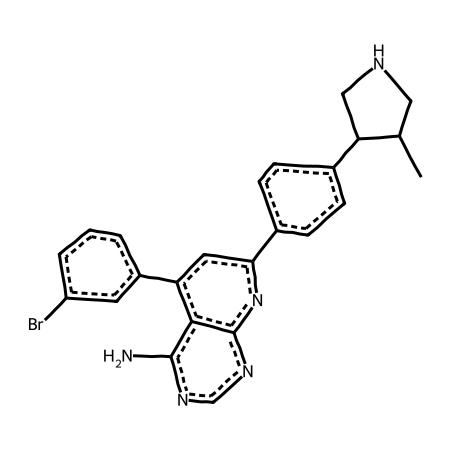 CC1CNCC1c1ccc(-c2cc(-c3cccc(Br)c3)c3c(N)ncnc3n2)cc1